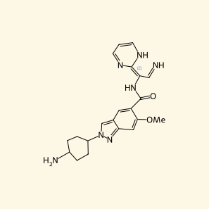 COc1cc2nn(C3CCC(N)CC3)cc2cc1C(=O)N/C(C=N)=C1\N=CC=CN1